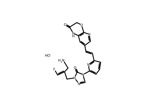 Cl.NC/C(=C\F)Cn1ncn(-c2cccc(/C=C/c3cnc4c(c3)NC(=O)CO4)n2)c1=O